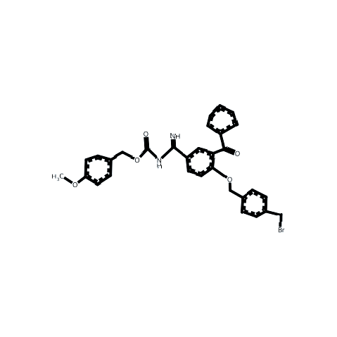 COc1ccc(COC(=O)NC(=N)c2ccc(OCc3ccc(CBr)cc3)c(C(=O)c3ccccc3)c2)cc1